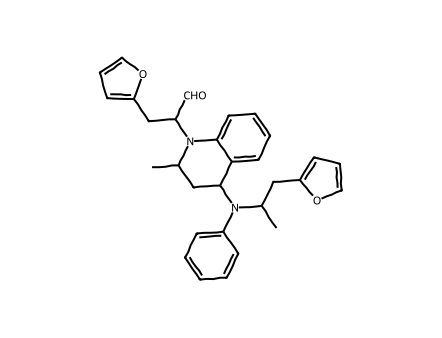 CC1CC(N(c2ccccc2)C(C)Cc2ccco2)c2ccccc2N1C(C=O)Cc1ccco1